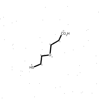 O=C(O)CCOCCS